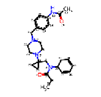 CCC(=O)N(CC1(N2CCN(Cc3ccc(NC(C)=O)cc3)CC2)CC1)C1C=CC=CC1